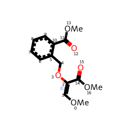 CO/C=C(/OCc1ccccc1C(=O)OC)C(=O)OC